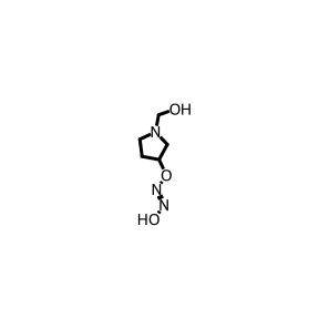 OCN1CCC(ON=NO)C1